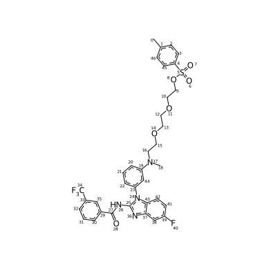 Cc1ccc(S(=O)(=O)OCCOCCOCCN(C)c2cccc(-n3c(NC(=O)c4cccc(C(F)(F)F)c4)nc4cc(F)ccc43)c2)cc1